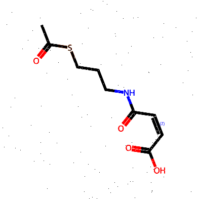 CC(=O)SCCCNC(=O)/C=C\C(=O)O